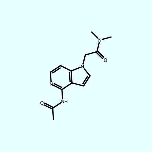 CC(=O)Nc1nccc2c1ccn2CC(=O)N(C)C